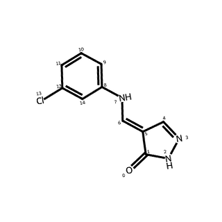 O=C1NN=CC1=CNc1cccc(Cl)c1